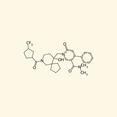 CN(C)C(=O)c1cn(CC2(O)CCN(C(=O)C3CCC(C(F)(F)F)C3)CC23CCCC3)c(=O)cc1-c1ccccc1